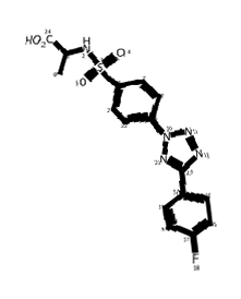 CC(NS(=O)(=O)c1ccc(-n2nnc(-c3ccc(F)cc3)n2)cc1)C(=O)O